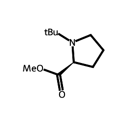 COC(=O)[C@@H]1CCCN1C(C)(C)C